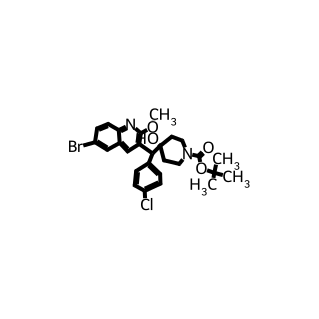 COc1nc2ccc(Br)cc2cc1C(c1ccc(Cl)cc1)C1(O)CCN(C(=O)OC(C)(C)C)CC1